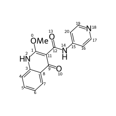 COc1[nH]c2ccccc2c(=O)c1C(=O)Nc1ccncc1